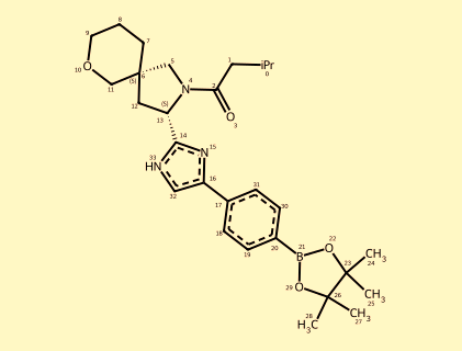 CC(C)CC(=O)N1C[C@]2(CCCOC2)C[C@H]1c1nc(-c2ccc(B3OC(C)(C)C(C)(C)O3)cc2)c[nH]1